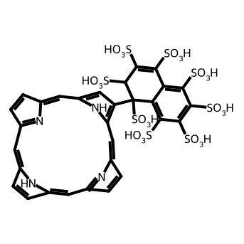 O=S(=O)(O)C1=C(S(=O)(=O)O)C(S(=O)(=O)O)C(c2cc3cc4nc(cc5ccc(cc6nc(cc2[nH]3)C=C6)[nH]5)C=C4)(S(=O)(=O)O)c2c1c(S(=O)(=O)O)c(S(=O)(=O)O)c(S(=O)(=O)O)c2S(=O)(=O)O